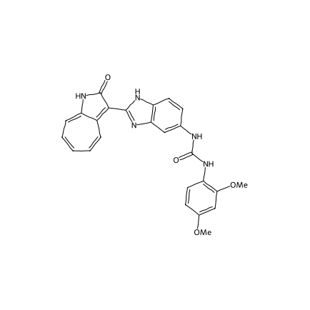 COc1ccc(NC(=O)Nc2ccc3[nH]c(-c4c5cccccc-5[nH]c4=O)nc3c2)c(OC)c1